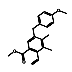 C=Cc1c(C(=O)OC)cc(Cc2ccc(OC)cc2)c(C)c1C